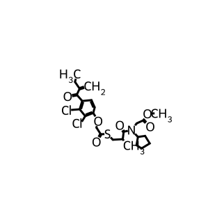 C=C(CC)C(=O)c1ccc(OCC(=O)SCC(C)C(=O)N(CC(=O)OC)C2CCCC2)c(Cl)c1Cl